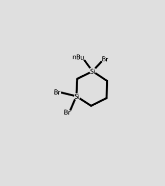 CCCC[Si]1(Br)CCC[Si](Br)(Br)C1